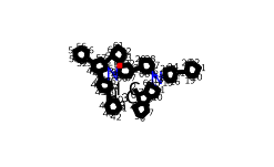 CC1(C)c2ccccc2-c2ccc(N(c3ccc(-c4ccccc4)cc3)c3cccc(-c4ccc(-n5c6cc(-c7ccccc7)ccc6c6cc(-c7ccccc7)cc(-c7ccccc7)c65)cc4)c3)cc21